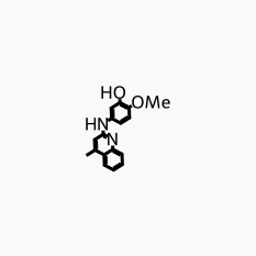 COc1ccc(Nc2cc(C)c3ccccc3n2)cc1O